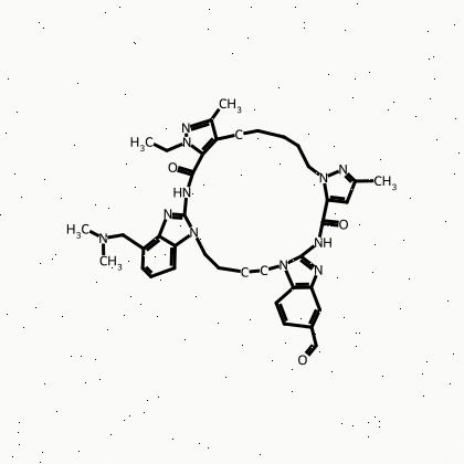 CCn1nc(C)c2c1C(=O)Nc1nc3c(CN(C)C)cccc3n1CCCCn1c(nc3cc(C=O)ccc31)NC(=O)c1cc(C)nn1CCCCC2